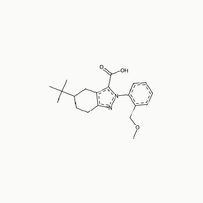 COCc1ccccc1-n1nc2c(c1C(=O)O)CC(C(C)(C)C)CC2